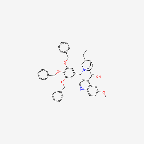 CCC1C[N+]2(Cc3cc(OCc4ccccc4)c(OCc4ccccc4)c(OCc4ccccc4)c3)CCC1CC2[C@H](O)c1ccnc2ccc(OC)cc12